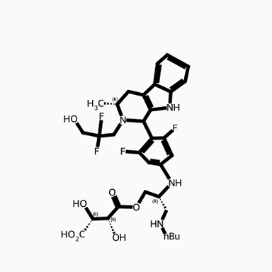 CCCCNC[C@H](COC(=O)[C@H](O)[C@@H](O)C(=O)O)Nc1cc(F)c(C2c3[nH]c4ccccc4c3C[C@@H](C)N2CC(F)(F)CO)c(F)c1